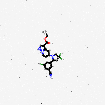 CCOC(=O)c1cnn2ccc(N3CC(F)(F)CC3c3cc(F)cc(C#N)c3)cc12